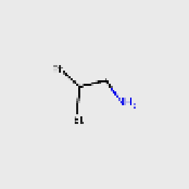 CCC([CH]N)CC